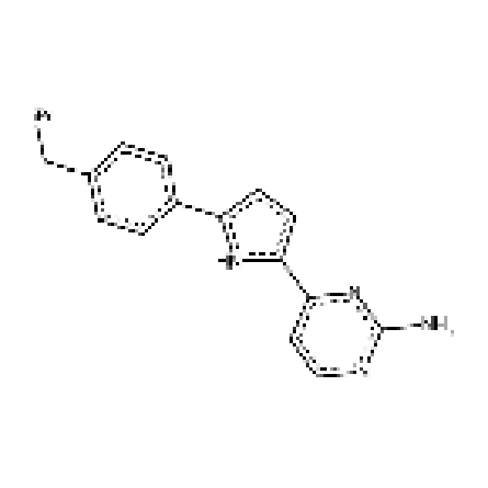 CC(C)Cc1ccc(-c2ccc(-c3ccnc(N)n3)[nH]2)cc1